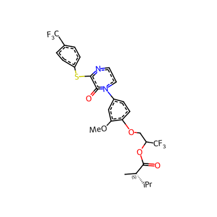 COc1cc(-n2ccnc(Sc3ccc(C(F)(F)F)cc3)c2=O)ccc1OCC(OC(=O)[C@@H](C)C(C)C)C(F)(F)F